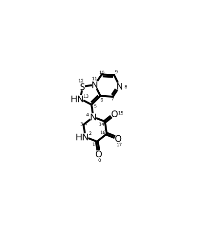 O=C1N[CH]N(C2=C3C=NC=CN3SN2)C(=O)C1=O